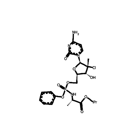 CC(C)OC(=O)[C@H](C)NP(=O)(OC[C@H]1O[C@@H](n2ccc(N)nc2=O)[C@](C)(Cl)[C@@H]1O)Oc1ccccc1